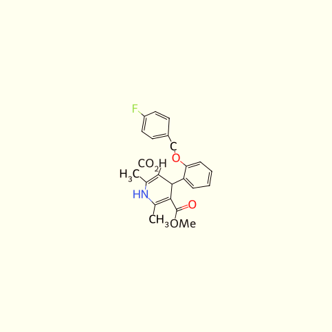 COC(=O)C1=C(C)NC(C)=C(C(=O)O)C1c1ccccc1OCc1ccc(F)cc1